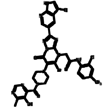 CCc1c(N2CCN(C(=O)c3ncnc(C)c3O)CC2)c(=O)n2nc(-c3cnc4[nH]cc(Cl)c4c3)nc2n1CC(=O)Nc1ccc(C(F)(F)F)cc1Cl